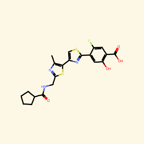 Cc1nc(CNC(=O)C2CCCC2)sc1-c1csc(-c2cc(O)c(C(=O)O)cc2F)n1